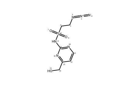 [N-]=[N+]=NCCS(=O)(=O)Nc1nccc(CO)n1